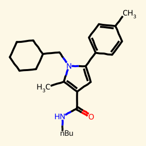 CCCCNC(=O)c1cc(-c2ccc(C)cc2)n(CC2CCCCC2)c1C